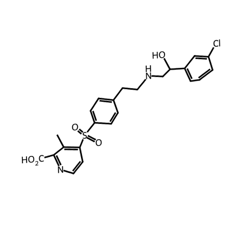 Cc1c(S(=O)(=O)c2ccc(CCNCC(O)c3cccc(Cl)c3)cc2)ccnc1C(=O)O